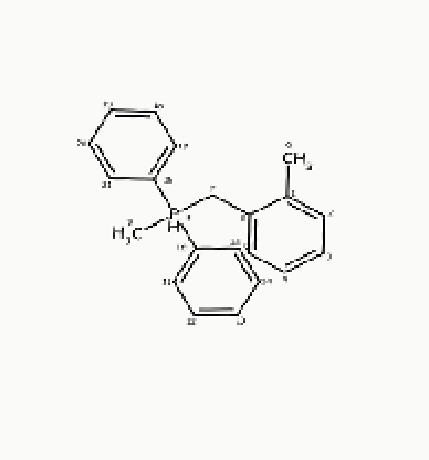 Cc1ccccc1C[PH](C)(c1ccccc1)c1ccccc1